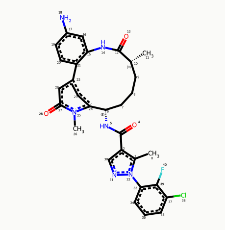 Cc1c(C(=O)N[C@H]2CCC[C@@H](C)C(=O)Nc3cc(N)ccc3-c3cc2n(C)c(=O)c3)cnn1-c1cccc(Cl)c1F